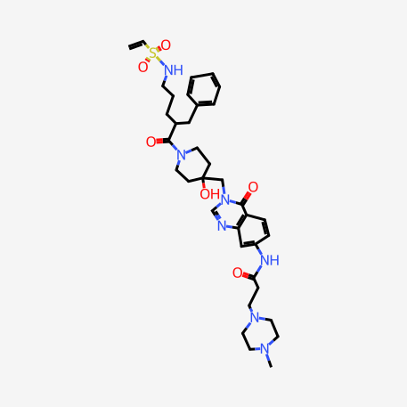 C=CS(=O)(=O)NCCCC(Cc1ccccc1)C(=O)N1CCC(O)(Cn2cnc3cc(NC(=O)CCN4CCN(C)CC4)ccc3c2=O)CC1